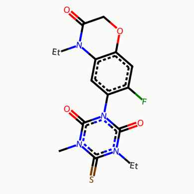 CCN1C(=O)COc2cc(F)c(-n3c(=O)n(C)c(=S)n(CC)c3=O)cc21